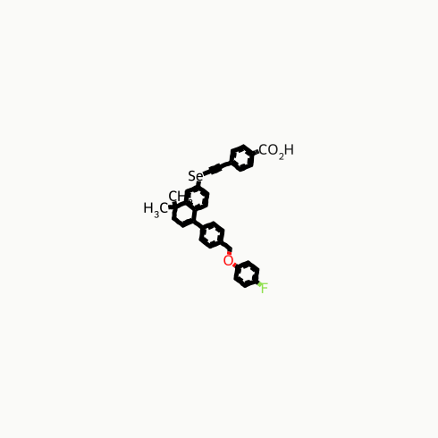 CC1(C)CC=C(c2ccc(COc3ccc(F)cc3)cc2)c2ccc([Se]C#Cc3ccc(C(=O)O)cc3)cc21